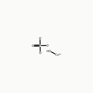 O=P([O-])([O-])[O-].[OH][Co+3]